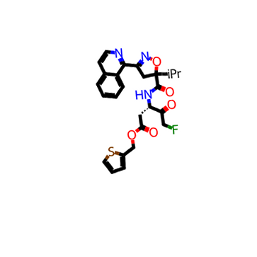 CC(C)C1(C(=O)N[C@@H](CC(=O)OCc2cccs2)C(=O)CF)CC(c2nccc3ccccc23)=NO1